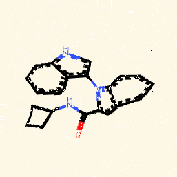 O=C(NC1CCC1)c1cc2ccccc2n1-c1c[nH]c2ccccc12